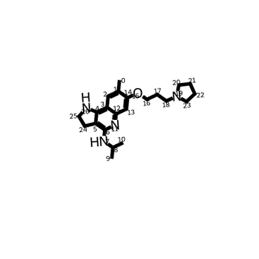 Cc1cc2c3c(c(NC(C)C)nc2cc1OCCCN1CCCC1)CCN3